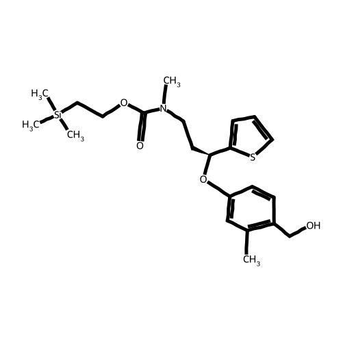 Cc1cc(O[C@@H](CCN(C)C(=O)OCC[Si](C)(C)C)c2cccs2)ccc1CO